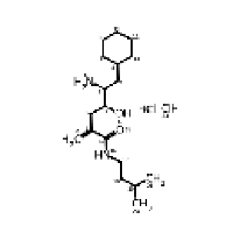 C=C(C[C@H](O)[C@@H](N)CC1CCCCC1)C(=O)NCCC(C)C.Cl.Cl